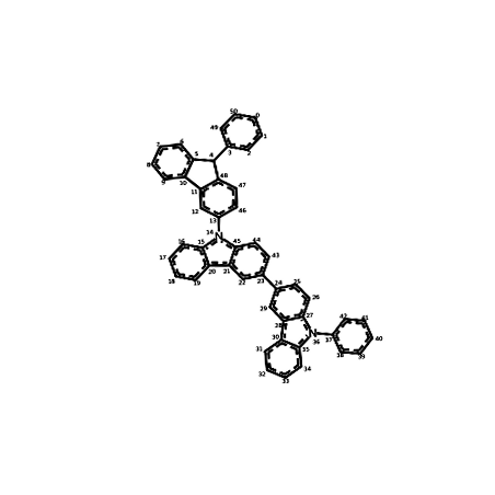 c1ccc(C2c3ccccc3-c3cc(-n4c5ccccc5c5cc(-c6ccc7c(c6)c6ccccc6n7-c6ccccc6)ccc54)ccc32)cc1